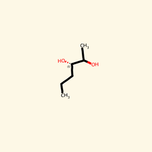 CCC[C@H](O)C(C)O